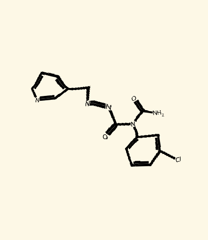 NC(=O)N(C(=O)N=NCc1cccnc1)c1cccc(Cl)c1